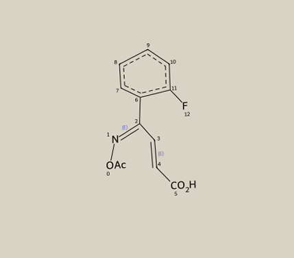 CC(=O)O/N=C(\C=C\C(=O)O)c1ccccc1F